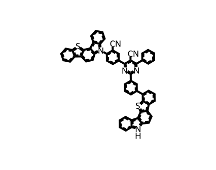 N#Cc1cc(-c2nc(-c3cccc(-c4cccc5c4sc4c5ccc5[nH]c6ccccc6c54)c3)nc(-c3ccccc3)c2C#N)ccc1-n1c2ccccc2c2c3sc4ccccc4c3ccc21